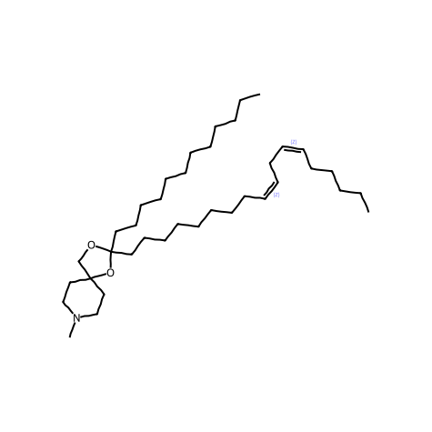 CCCCC/C=C\C/C=C\CCCCCCCCC1(CCCCCCCCCCCC)OCC2(CCN(C)CC2)O1